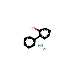 Cl.Oc1ccccc1-c1ccccc1.[Zr]